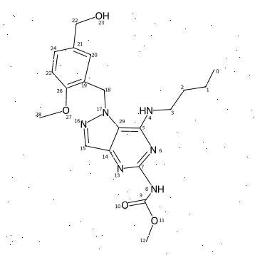 CCCCNc1nc(NC(=O)OC)nc2cnn(Cc3cc(CO)ccc3OC)c12